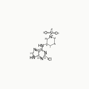 CS(=O)(=O)N1CCCC(Nc2nc(Cl)nc3[nH]cnc23)C1